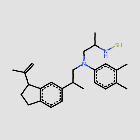 C=C(C)C1CCc2ccc(C(C)CN(CC(C)NS)c3ccc(C)c(C)c3)cc21